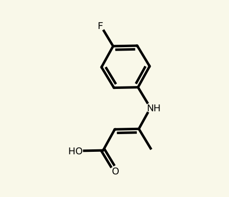 CC(=CC(=O)O)Nc1ccc(F)cc1